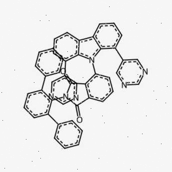 O=C1c2cccc(-n3c4c(-c5cncnc5)cccc4c4cccc(-c5cncnc5)c43)c2C(=O)N1c1c(-c2ccccc2)cccc1-c1ccccc1